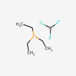 CCP(CC)CC.FB(F)F